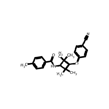 Cc1ccc(C(=O)NC2C(C)(C)C(Oc3ccc(C#N)cc3)C2(C)C)cc1